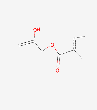 C=C(O)COC(=O)C(C)=CC